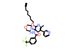 C#CCCCCCCOC1=NC(C)=C(c2cccnc2)CC1(NC(=O)c1cccc(C(F)(F)F)c1)N1CCOCC1